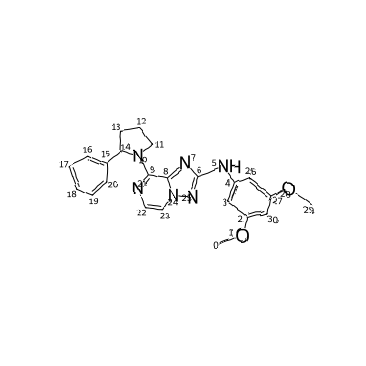 COc1cc(Nc2nc3c(N4CCCC4c4ccccc4)nccn3n2)cc(OC)c1